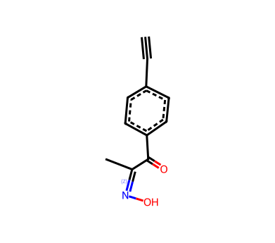 C#Cc1ccc(C(=O)/C(C)=N\O)cc1